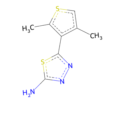 Cc1csc(C)c1-c1nnc(N)s1